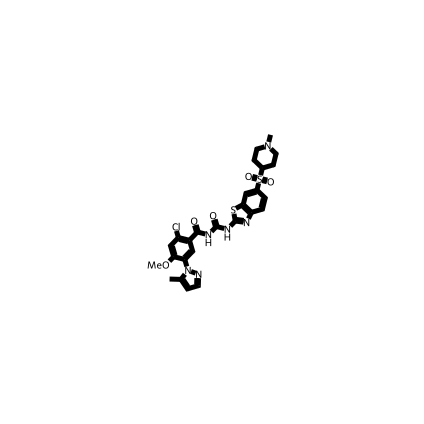 COc1cc(Cl)c(C(=O)NC(=O)Nc2nc3ccc(S(=O)(=O)C4CCN(C)CC4)cc3s2)cc1-n1nccc1C